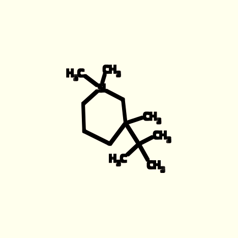 CC(C)(C)C1(C)CCC[Si](C)(C)C1